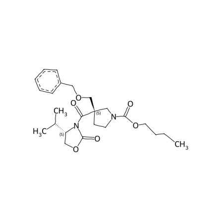 CCCCOC(=O)N1CC[C@](COCc2ccccc2)(C(=O)N2C(=O)OC[C@@H]2C(C)C)C1